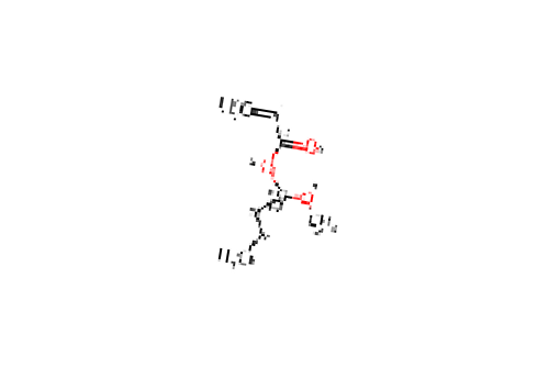 C=CC(=O)O[SiH](CCC)OC